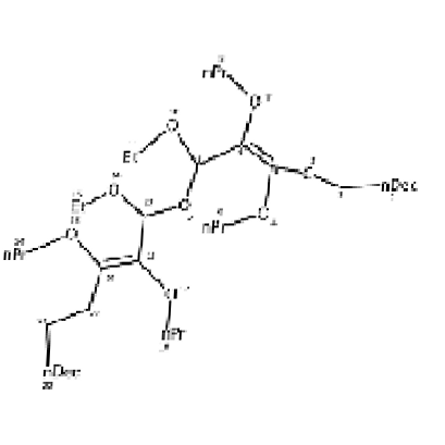 CCCCCCCCCCCCC(OCCC)=C(OCCC)C(OCC)OC(OCC)C(OCCC)=C(CCCCCCCCCCCC)OCCC